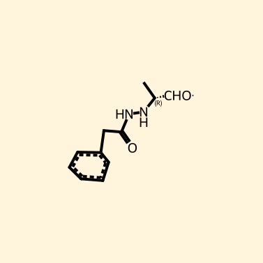 C[C@H]([C]=O)NNC(=O)Cc1ccccc1